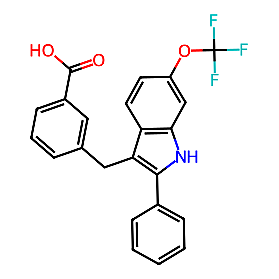 O=C(O)c1cccc(Cc2c(-c3ccccc3)[nH]c3cc(OC(F)(F)F)ccc23)c1